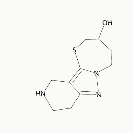 OC1CCn2nc3c(c2SC1)CNCC3